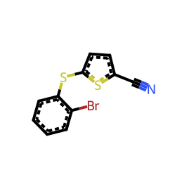 N#Cc1ccc(Sc2ccccc2Br)s1